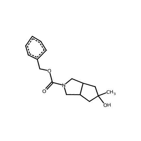 CC1(O)CC2CN(C(=O)OCc3ccccc3)CC2C1